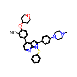 CN1CCN(c2ccc(-c3cc4c(-c5ccc(OC6CCOCC6)c(C#N)c5)ccnc4n3Sc3ccccc3)cc2)CC1